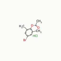 CC(=O)Oc1c(C)cc(Br)cc1C.Cl